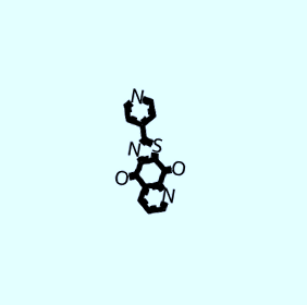 O=C1c2cccnc2C(=O)c2sc(-c3ccncc3)nc21